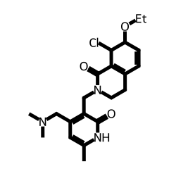 CCOC1C=CC2=C(C(=O)N(Cc3c(CN(C)C)cc(C)[nH]c3=O)CC2)C1Cl